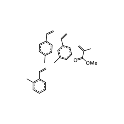 C=C(C)C(=O)OC.C=Cc1ccc(C)cc1.C=Cc1cccc(C)c1.C=Cc1ccccc1C